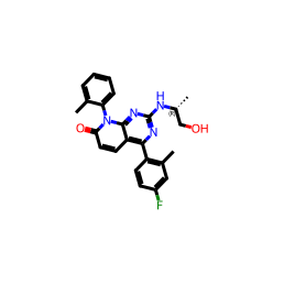 Cc1cc(F)ccc1-c1nc(N[C@H](C)CO)nc2c1ccc(=O)n2-c1ccccc1C